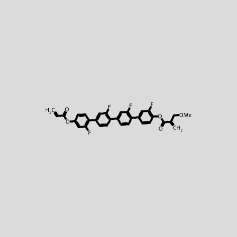 C=CC(=O)Oc1ccc(-c2ccc(-c3ccc(-c4ccc(OC(=O)C(=C)COC)c(F)c4)c(F)c3)c(F)c2)c(F)c1